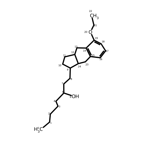 CCCCCC(O)CCC1CCC2Cc3c(cccc3OCC)CC12